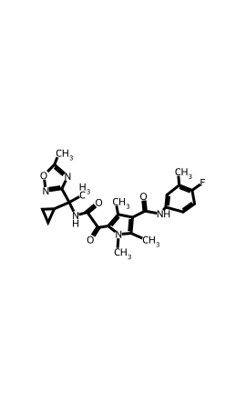 Cc1nc(C(C)(NC(=O)C(=O)c2c(C)c(C(=O)Nc3ccc(F)c(C)c3)c(C)n2C)C2CC2)no1